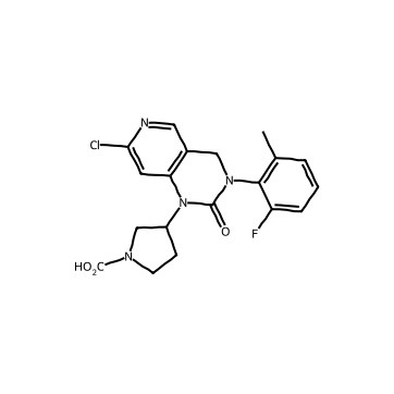 Cc1cccc(F)c1N1Cc2cnc(Cl)cc2N(C2CCN(C(=O)O)C2)C1=O